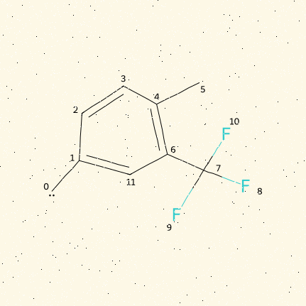 [CH]c1ccc(C)c(C(F)(F)F)c1